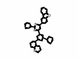 c1ccc(-c2cc(-c3cc(-c4ccc5oc6ccccc6c5c4)nc(-c4ccccc4)n3)cc(-c3cccc4ncccc34)c2)cc1